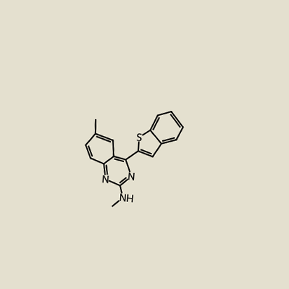 CNc1nc(-c2cc3ccccc3s2)c2cc(C)ccc2n1